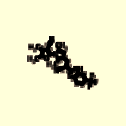 Cc1oc(-n2c(C)cc(C=C(C#N)c3nc4ccc(C(F)(F)F)cc4[nH]3)c2C)c(C#N)c1C